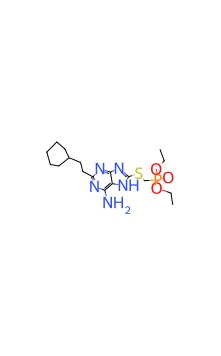 CCOP(=O)(CSc1nc2nc(CCC3CCCCC3)nc(N)c2[nH]1)OCC